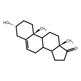 C[C@]12CC[C@@H](O)CC1=CCC1C2CC[C@]2(C)C(=O)CCC12